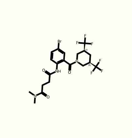 CN(C)C(=O)CCC(=O)Nc1ccc(Br)cc1C(=O)N1C[C@H](C(F)(F)F)C[C@H](C(F)(F)F)C1